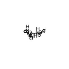 O=C1CN(Cc2c[nH]c3ccccc23)C(=O)[C@@H](CCCCNC(=O)OCc2ccccc2)N1